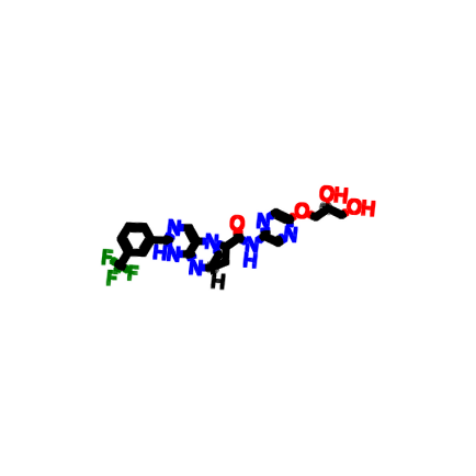 O=C(Nc1cnc(OC[C@H](O)CO)cn1)C1C[C@H]2CN1C1=CN=C(c3cccc(C(F)(F)F)c3)NC1=N2